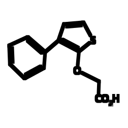 O=C(O)COc1sccc1-c1ccccc1